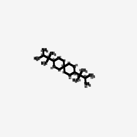 CC(N)C(C)(C)C1OCC2(CO1)COC(C(C)(C)C(C)N)OC2